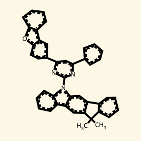 CC1(C)c2ccccc2-c2cc3c(cc21)c1ccccc1n3-c1nc(-c2ccccc2)cc(-c2ccc3oc4ccccc4c3c2)n1